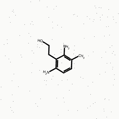 Cc1ccc(N)c(CCO)c1N